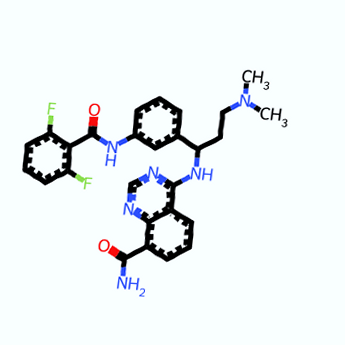 CN(C)CCC(Nc1ncnc2c(C(N)=O)cccc12)c1cccc(NC(=O)c2c(F)cccc2F)c1